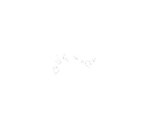 CCCn1c(-c2ccccc2)cc(C(=O)NCCCN2CCN(c3cccc(C(F)(F)F)c3)CC2)c1C